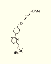 COCCOCCOCC1CC=C(c2nccc(CO[Si](C)(C)C(C)(C)C)n2)CC1